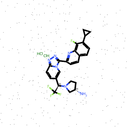 Cl.Cl.N[C@H]1CCN([C@H](c2ccc3nnc(-c4ccc5ccc(C6CC6)c(F)c5n4)n3c2)C(F)(F)F)C1